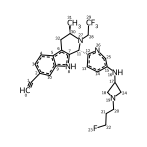 C#Cc1ccc2c3c([nH]c2c1)[C@@H](c1ccc(NC2CN(CCCF)C2)cn1)N(CC(F)(F)F)[C@H](C)C3